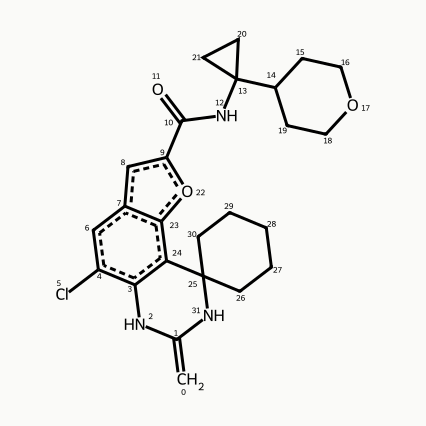 C=C1Nc2c(Cl)cc3cc(C(=O)NC4(C5CCOCC5)CC4)oc3c2C2(CCCCC2)N1